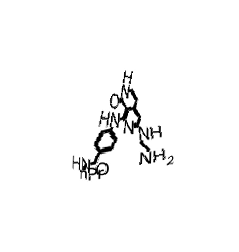 CCCNC(=O)c1ccc(Nc2nc(NCCN)cc3cc[nH]c(=O)c23)cc1